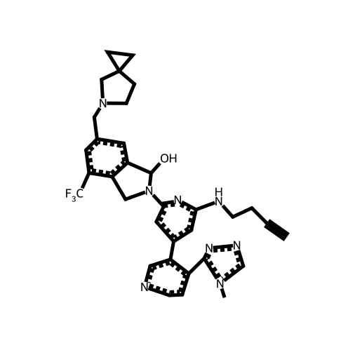 C#CCCNc1cc(-c2cnccc2-c2nncn2C)cc(N2Cc3c(cc(CN4CCC5(CC5)C4)cc3C(F)(F)F)C2O)n1